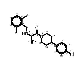 Cc1cccc(C)c1CNC(C(=O)N1CCC(c2ccc(Cl)cc2)CC1)C(C)C